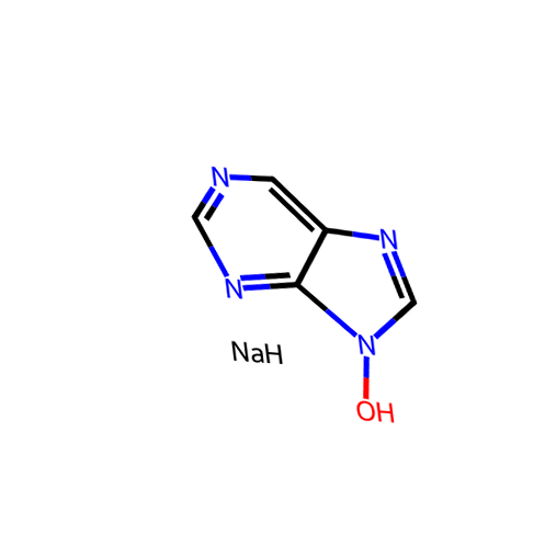 On1cnc2cncnc21.[NaH]